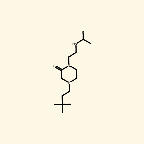 CC(C)NCCN1CCN(CCC(C)(C)C)CC1=O